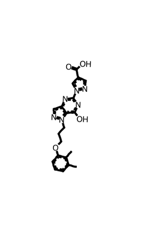 Cc1cccc(OCCCn2ncc3nc(-n4cc(C(=O)O)cn4)nc(O)c32)c1C